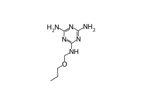 CCCOCNc1nc(N)nc(N)n1